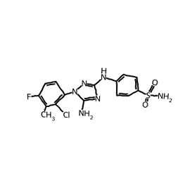 Cc1c(F)ccc(-n2nc(Nc3ccc(S(N)(=O)=O)cc3)nc2N)c1Cl